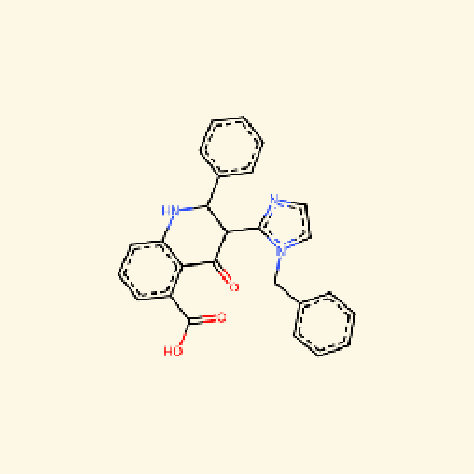 O=C(O)c1cccc2c1C(=O)C(c1nccn1Cc1ccccc1)C(c1ccccc1)N2